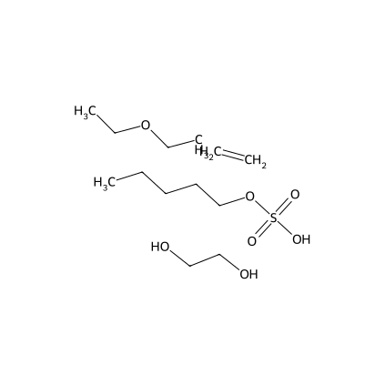 C=C.CCCCCOS(=O)(=O)O.CCOCC.OCCO